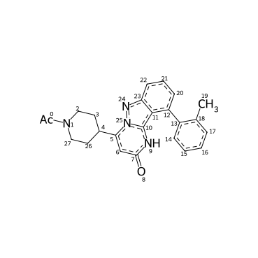 CC(=O)N1CCC(c2cc(=O)[nH]c3c4c(-c5ccccc5C)cccc4nn23)CC1